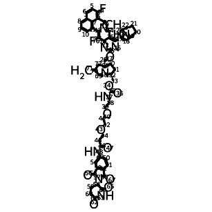 C#Cc1c(F)ccc2cccc(-c3ncc4c(N5CC6CCC(C5)N6)nc(OC[C@@]56CC[C@@H](COC(=O)NCCOCCOCCC(=O)Nc7ccc8c(c7)C(=O)N(C7CCC(=O)NC7=O)C8=O)N5CC(=C)C6)nc4c3F)c12